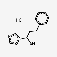 Cl.SC(CCc1ccccc1)n1ccnc1